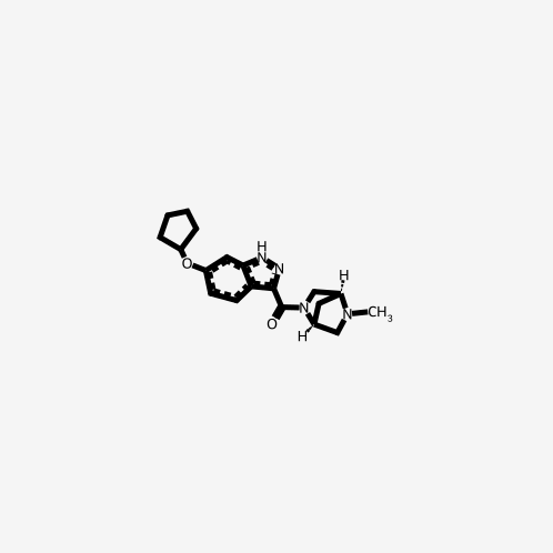 CN1C[C@@H]2C[C@H]1CN2C(=O)c1n[nH]c2cc(OC3CCCC3)ccc12